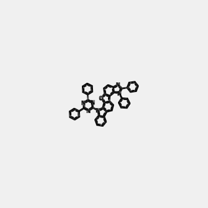 c1ccc(-c2nc(-c3ccccc3)nc(-n3c4ccccc4c4ccc5c(oc6ccc7nc(-c8ccccc8)n(-c8ccccc8)c7c65)c43)n2)cc1